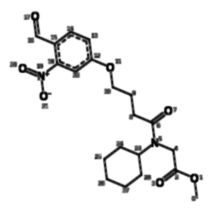 COC(=O)CN(C(=O)CCCOc1ccc(C=O)c([N+](=O)[O-])c1)C1CCCCC1